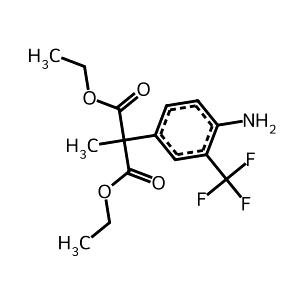 CCOC(=O)C(C)(C(=O)OCC)c1ccc(N)c(C(F)(F)F)c1